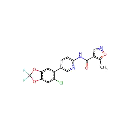 Cc1oncc1C(=O)Nc1ccc(-c2cc3c(cc2Cl)OC(F)(F)O3)cn1